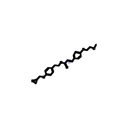 COCCOc1ccc(/C=C/C(=O)OCCc2ccc(OCC3CO3)cc2)cc1